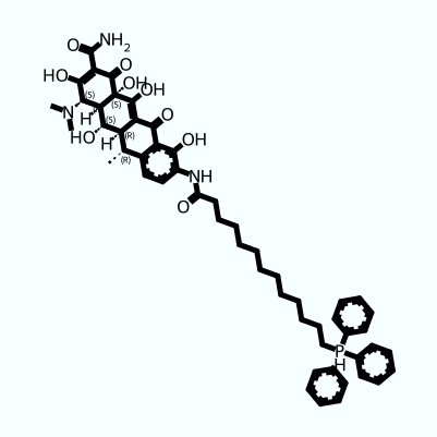 C[C@H]1c2ccc(NC(=O)CCCCCCCCCCCC[PH](c3ccccc3)(c3ccccc3)c3ccccc3)c(O)c2C(=O)C2=C(O)[C@]3(O)C(=O)C(C(N)=O)=C(O)[C@@H](N(C)C)[C@@H]3[C@@H](O)[C@@H]21